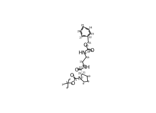 CC(C)(C)OC(=O)N1CCC[C@H]1C(=O)NCCNC(=O)OCc1ccccc1